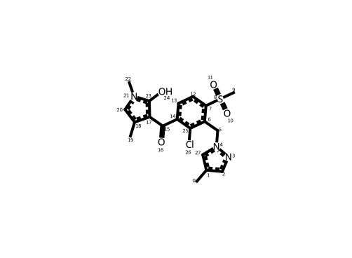 Cc1cnn(Cc2c(S(C)(=O)=O)ccc(C(=O)c3c(C)cn(C)c3O)c2Cl)c1